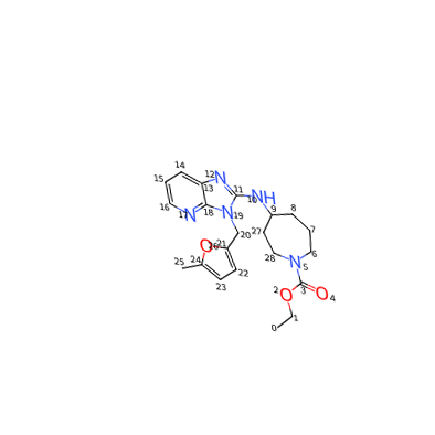 CCOC(=O)N1CCCC(Nc2nc3cccnc3n2Cc2ccc(C)o2)CC1